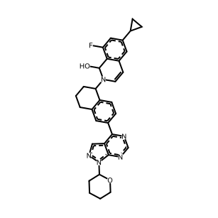 OC1c2c(F)cc(C3CC3)cc2C=CN1C1CCCc2cc(-c3ncnc4c3cnn4C3CCCCO3)ccc21